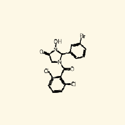 O=C1CN(C(=O)c2c(Cl)cccc2Cl)C(c2cccc(Br)c2)N1O